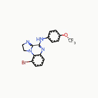 FC(F)(F)Oc1ccc(NC2=Nc3cccc(Br)c3N3CCN=C23)cc1